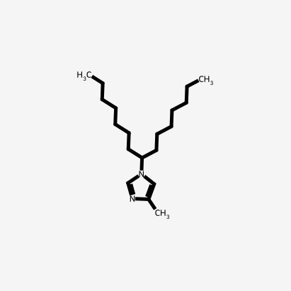 CCCCCCCC(CCCCCCC)n1cnc(C)c1